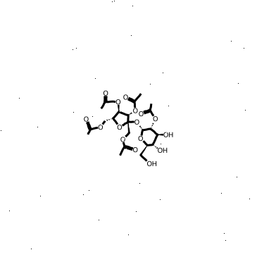 CC(=O)OC[C@H]1O[C@@](COC(C)=O)(O[C@H]2O[C@H](CO)[C@@H](O)[C@H](O)[C@H]2OC(C)=O)[C@@H](OC(C)=O)[C@@H]1OC(C)=O